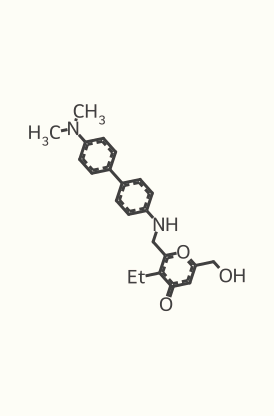 CCc1c(CNc2ccc(-c3ccc(N(C)C)cc3)cc2)oc(CO)cc1=O